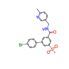 Cc1ccc(CNC(=O)c2cc(-c3ccc(Br)cc3)cc(S(C)(=O)=O)c2)cn1